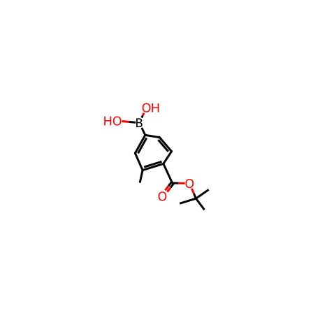 Cc1cc(B(O)O)ccc1C(=O)OC(C)(C)C